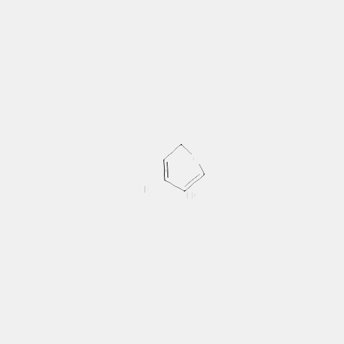 C1=CCOC=C1.Cl.Cl